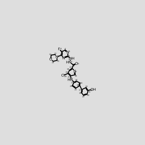 O=C(NNc1ncc(F)c(N2CCOCC2)n1)c1cc(Cl)c(Nc2ccc(-c3cccc(O)c3)cc2)cn1